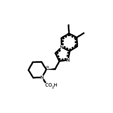 Cc1cc2nc(C[C@@H]3CCCCN3C(=O)O)cn2cc1C